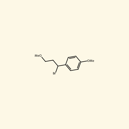 COCCC(Br)c1ccc(OC)cc1